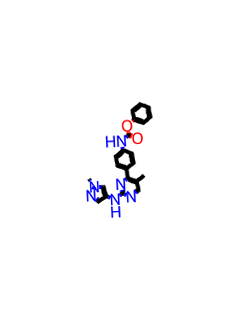 Cc1cnc(Nc2cnn(C)c2)nc1-c1ccc(NC(=O)Oc2ccccc2)cc1